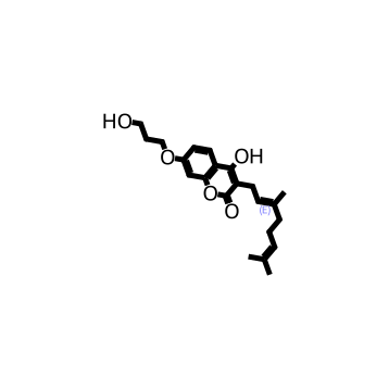 CC(C)=CCC/C(C)=C/Cc1c(O)c2ccc(OCCCO)cc2oc1=O